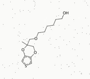 CC1(COCCCCCCO)COc2cscc2O1